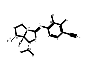 Cc1c(C#N)ccc(/N=C2\O[C@H](C(C)C)[C@@H]3[C@H](O)CCN23)c1C